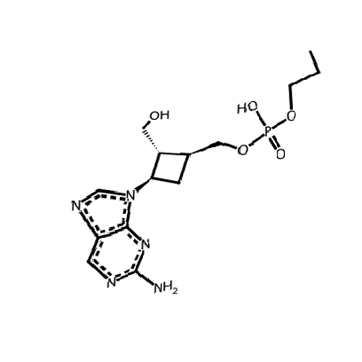 CCCOP(=O)(O)OC[C@H]1C[C@@H](n2cnc3cnc(N)nc32)[C@@H]1CO